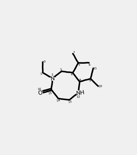 CCN1CC(C(C)C)C(C(C)C)NCCC1=O